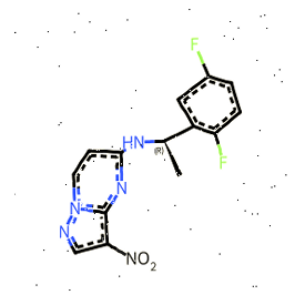 C[C@@H](Nc1ccn2ncc([N+](=O)[O-])c2n1)c1cc(F)ccc1F